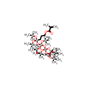 C=C(C)C(=O)OCCC[Si](O[Si](C)(C)C)(O[Si](C)(C)C)O[Si](O[Si](C)(C)C)(O[Si](C)(C)C)O[Si](O[SiH](O[Si](C)(C)C)O[Si](C)(C)C)(O[Si](C)(C)C)O[Si](C)(C)C